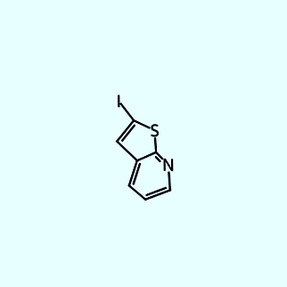 Ic1cc2cccnc2s1